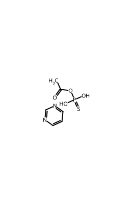 CC(=O)OP(O)(O)=S.c1cncnc1